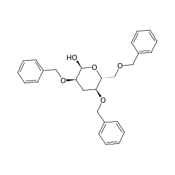 O[C@H]1O[C@H](COCc2ccccc2)[C@@H](OCc2ccccc2)C[C@H]1OCc1ccccc1